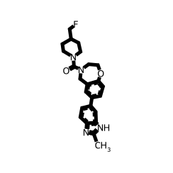 Cc1nc2ccc(-c3ccc4c(c3)CN(C(=O)N3CCC(CF)CC3)CCO4)cc2[nH]1